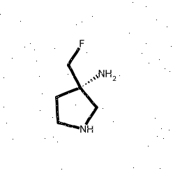 N[C@@]1(CF)CCNC1